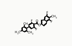 Cc1cc(C)c(-c2cc(F)c(C(=O)Oc3ccc4c(F)c(C)c(F)cc4c3)c(F)c2)c(C)c1